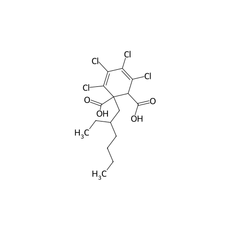 CCCCC(CC)CC1(C(=O)O)C(Cl)=C(Cl)C(Cl)=C(Cl)C1C(=O)O